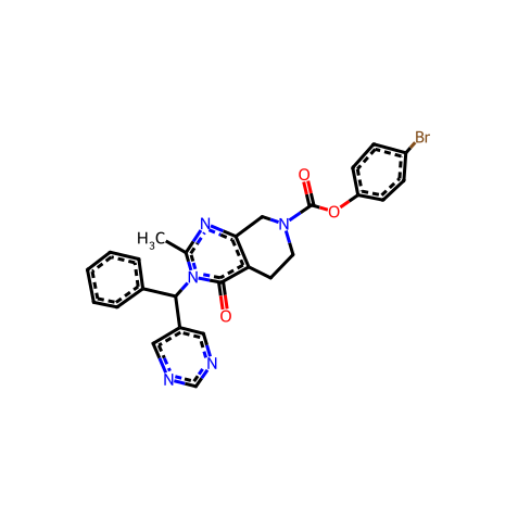 Cc1nc2c(c(=O)n1C(c1ccccc1)c1cncnc1)CCN(C(=O)Oc1ccc(Br)cc1)C2